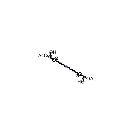 CC(=O)OCCC(CCO)CCOC(=O)CCCCCCC/C=C/CCCCCCCC(=O)OCCN(CCO)CCOC(C)=O